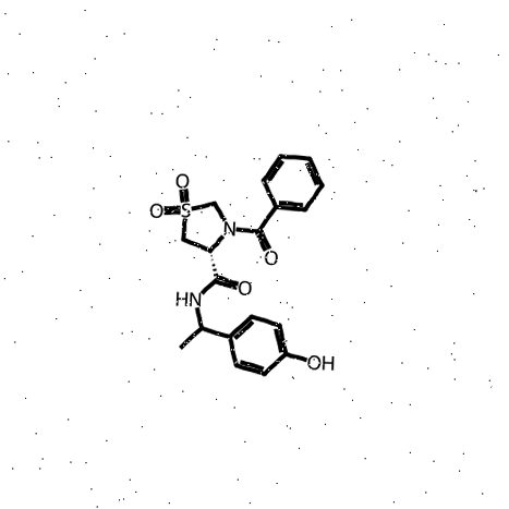 CC(NC(=O)[C@@H]1CS(=O)(=O)CN1C(=O)c1ccccc1)c1ccc(O)cc1